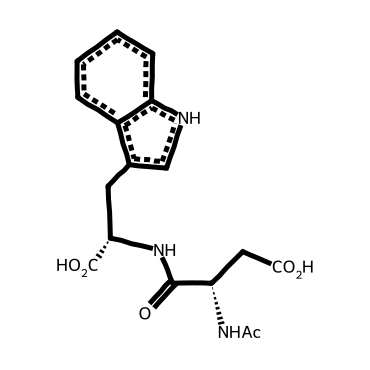 CC(=O)N[C@@H](CC(=O)O)C(=O)N[C@@H](Cc1c[nH]c2ccccc12)C(=O)O